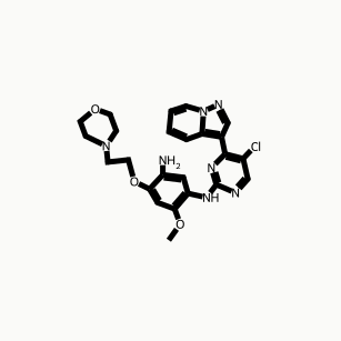 COc1cc(OCCN2CCOCC2)c(N)cc1Nc1ncc(Cl)c(-c2cnn3ccccc23)n1